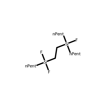 CCCCC[Si](F)(F)CC[Si](F)(CCCCC)CCCCC